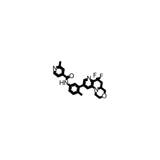 Cc1cc(C(=O)Nc2ccc(C)c(-c3cnc4c(c3)N3CCOCC3CC4(F)F)c2)ccn1